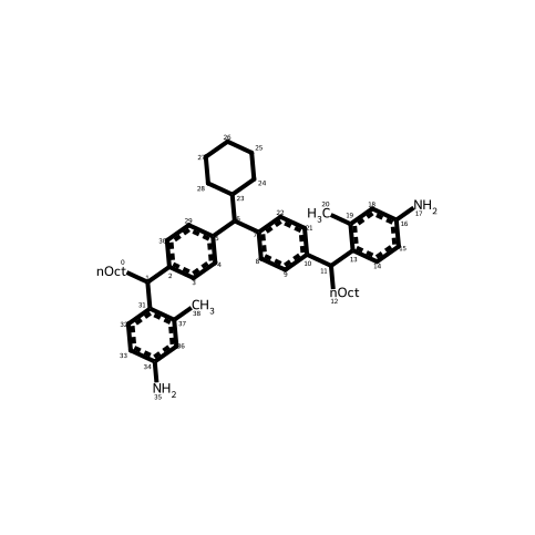 CCCCCCCCC(c1ccc(C(c2ccc(C(CCCCCCCC)c3ccc(N)cc3C)cc2)C2CCCCC2)cc1)c1ccc(N)cc1C